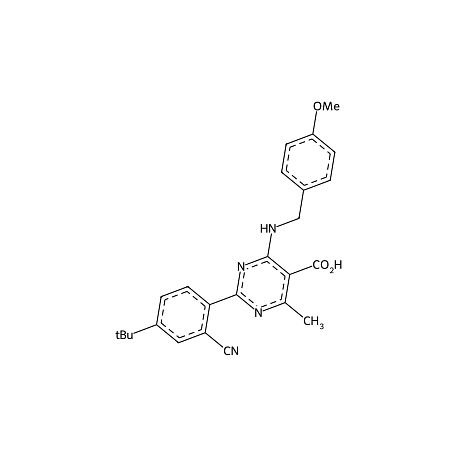 COc1ccc(CNc2nc(-c3ccc(C(C)(C)C)cc3C#N)nc(C)c2C(=O)O)cc1